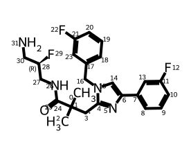 CC(C)([CH]c1nc(-c2cccc(F)c2)cn1Cc1cccc(F)c1)C(=O)NC[C@H](F)CN